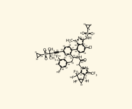 Cn1nc(NS(=O)(=O)C2CC2)c2c(Cl)ccc(-c3ccc(C#CC(C)(C)S(=O)(=O)C4CC4)nc3[C@H](Cc3cc(F)cc(F)c3)NC(=O)Cn3nc(C(F)(F)F)c4c3C(F)(F)[C@@H]3C[C@H]43)c21